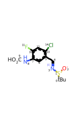 CC(C)(C)[S+]([O-])/N=C/c1cc(NC(=O)O)c(F)cc1Cl